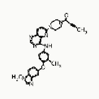 CC#CC(=O)N1CCN(c2ccc3ncnc(Nc4ccc(Oc5ccc6c(c5)ncn6C)c(C)c4)c3n2)CC1